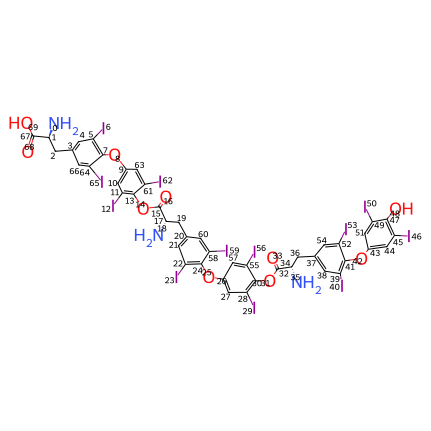 N[C@@H](Cc1cc(I)c(Oc2cc(I)c(OC(=O)[C@@H](N)Cc3cc(I)c(Oc4cc(I)c(OC(=O)[C@@H](N)Cc5cc(I)c(Oc6cc(I)c(O)c(I)c6)c(I)c5)c(I)c4)c(I)c3)c(I)c2)c(I)c1)C(=O)O